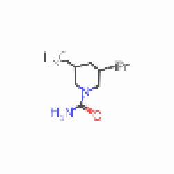 CC1CC(C(C)C)CN(C(N)=O)C1